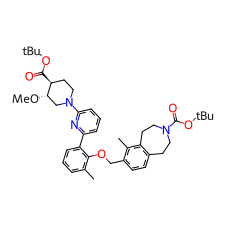 CO[C@H]1CN(c2cccc(-c3cccc(C)c3OCc3ccc4c(c3C)CCN(C(=O)OC(C)(C)C)CC4)n2)CC[C@@H]1C(=O)OC(C)(C)C